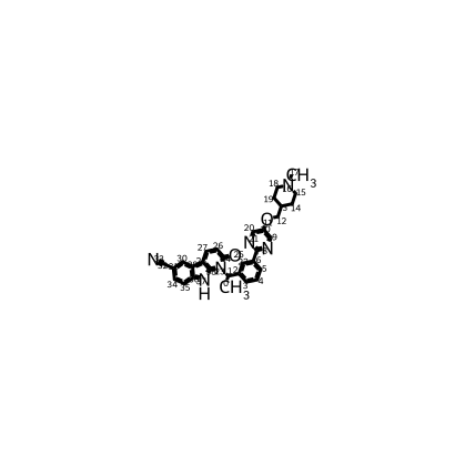 CC(c1cccc(-c2ncc(OCC3CCN(C)CC3)cn2)c1)n1c(=O)ccc2c3cc(C#N)ccc3[nH]c21